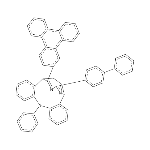 C1=C2/N=C(c3ccc(-c4ccccc4)cc3)\N=C(\c3ccc4c5ccccc5c5ccccc5c4c3)C(C/1)c1ccccc1N(c1ccccc1)c1ccccc12